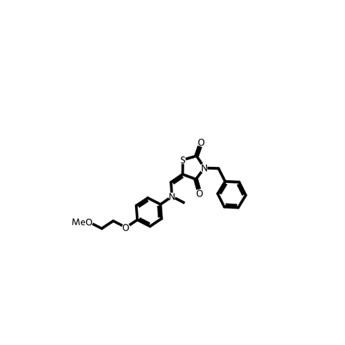 COCCOc1ccc(N(C)C=C2SC(=O)N(Cc3ccccc3)C2=O)cc1